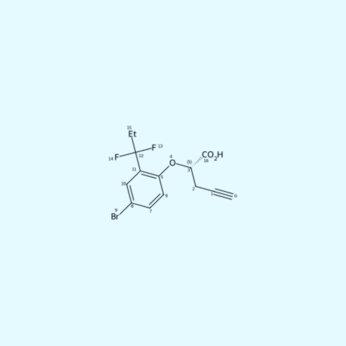 C#CC[C@H](Oc1ccc(Br)cc1C(F)(F)CC)C(=O)O